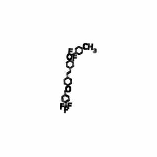 CC1CCC(C(F)(F)OC2CCC(/C=C/C3CCC(OCc4ccc(C(F)(F)F)cc4)CC3)CC2)CC1